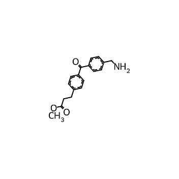 COC(=O)CCc1ccc(C(=O)c2ccc(CN)cc2)cc1